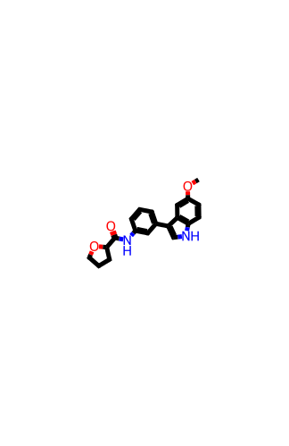 COc1ccc2[nH]cc(-c3cccc(NC(=O)C4CCCO4)c3)c2c1